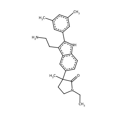 CCN1CCC(C)(c2ccc3[nH]c(-c4cc(C)cc(C)c4)c(CCN)c3c2)C1=O